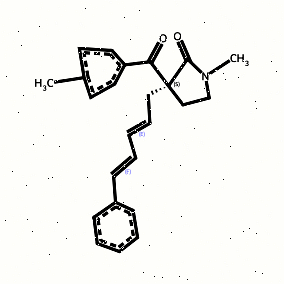 Cc1ccc(C(=O)[C@]2(C/C=C/C=C/c3ccccc3)CCN(C)C2=O)cc1